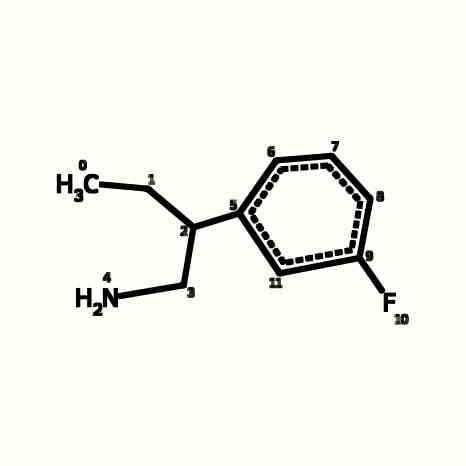 CCC(CN)c1cccc(F)c1